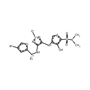 CC[C@@H](Nc1n[s+]([O-])nc1Nc1csc(S(=O)(=O)N(C)C)c1O)c1cc(C(C)C)co1